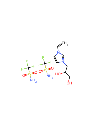 C=Cn1cc[n+](CC(O)CO)c1.NS(=O)(=O)C(F)(F)F.NS(=O)(=O)C(F)(F)F